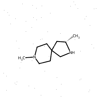 C[C@H]1CC2(CCN(C)CC2)CN1